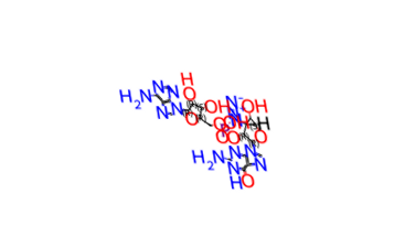 [N-]=[N+]=NC12C(O)[C@H]1O[C@@H](n1cnc3c(=O)[nH]c(N)nc31)[C@@H]2OP(=O)(O)OC[C@H]1O[C@@H](n2cnc3c(N)ncnc32)[C@H](O)[C@@H]1O